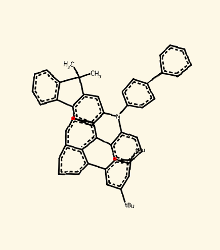 CC(C)(C)c1cc(-c2cccc3cccc(-c4ccccc4N(c4ccc(-c5ccccc5)cc4)c4ccc5c(c4)C(C)(C)c4ccccc4-5)c23)cc(C(C)(C)C)c1